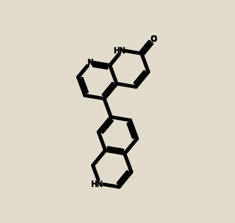 O=c1ccc2c(-c3ccc4c(c3)CNC=C4)ccnc2[nH]1